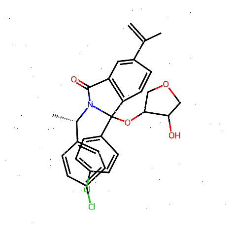 C=C(C)c1ccc2c(c1)C(=O)N([C@@H](C)c1ccc(Cl)cc1)C2(OC1COCC1O)c1ccc(Cl)cc1